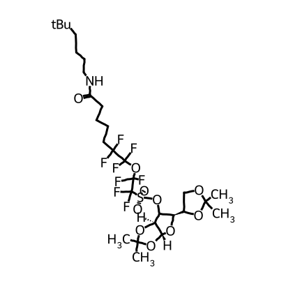 CC(C)(C)CCCCNC(=O)CCCCC(F)(F)C(F)(F)OC(F)(F)C(F)(F)S(=O)(=O)OC1[C@@H](C2COC(C)(C)O2)O[C@@H]2OC(C)(C)O[C@@H]12